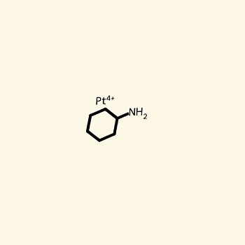 NC1CCCCC1.[Pt+4]